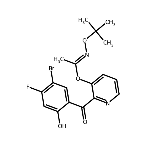 CC(=NOC(C)(C)C)Oc1cccnc1C(=O)c1cc(Br)c(F)cc1O